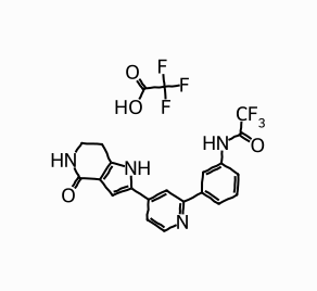 O=C(O)C(F)(F)F.O=C1NCCc2[nH]c(-c3ccnc(-c4cccc(NC(=O)C(F)(F)F)c4)c3)cc21